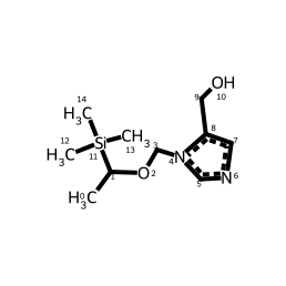 CC(OCn1cncc1CO)[Si](C)(C)C